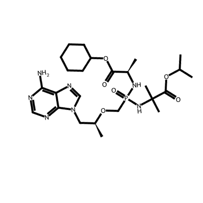 CC(C)OC(=O)C(C)(C)NP(=O)(CO[C@@H](C)Cn1cnc2c(N)ncnc21)N[C@H](C)C(=O)OC1CCCCC1